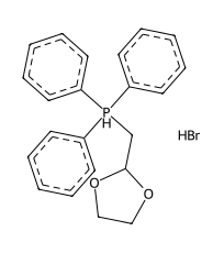 Br.c1ccc([PH](CC2OCCO2)(c2ccccc2)c2ccccc2)cc1